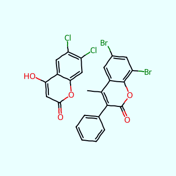 Cc1c(-c2ccccc2)c(=O)oc2c(Br)cc(Br)cc12.O=c1cc(O)c2cc(Cl)c(Cl)cc2o1